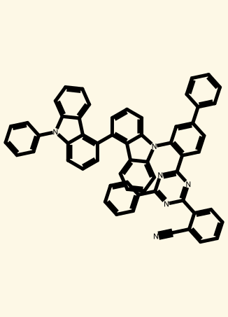 N#Cc1ccccc1-c1nc(-c2ccccc2)nc(-c2ccc(-c3ccccc3)cc2-n2c3ccccc3c3c(-c4cccc5c4c4ccccc4n5-c4ccccc4)cccc32)n1